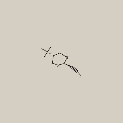 CC#C[C@H]1SC[C@H](C(C)(C)C)CS1